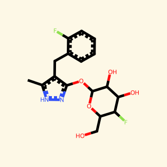 Cc1[nH]nc(OC2OC(CO)C(F)C(O)C2O)c1Cc1ccccc1F